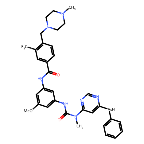 COc1cc(NC(=O)c2ccc(CN3CCN(C)CC3)c(C(F)(F)F)c2)cc(NC(=O)N(C)c2cc([AsH]c3ccccc3)ncn2)c1